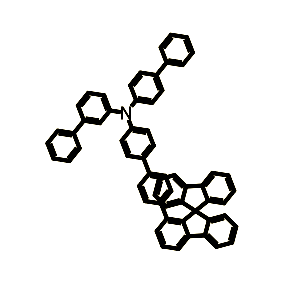 c1ccc(-c2ccc(N(c3ccc(-c4ccc(-c5cccc6c5C5(c7ccccc7-c7ccccc75)c5ccccc5-6)cc4)cc3)c3cccc(-c4ccccc4)c3)cc2)cc1